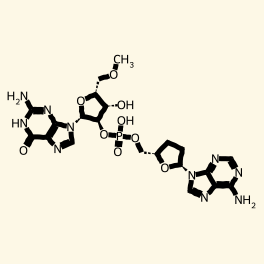 COC[C@H]1O[C@@H](n2cnc3c(=O)[nH]c(N)nc32)[C@H](OP(=O)(O)OC[C@@H]2CC[C@H](n3cnc4c(N)ncnc43)O2)[C@H]1O